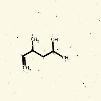 C=CC(C)CC(C)O